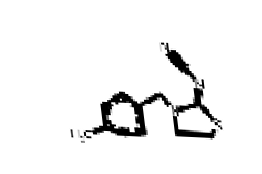 Cc1ccc(CN2CCS/C2=N/C#N)cc1